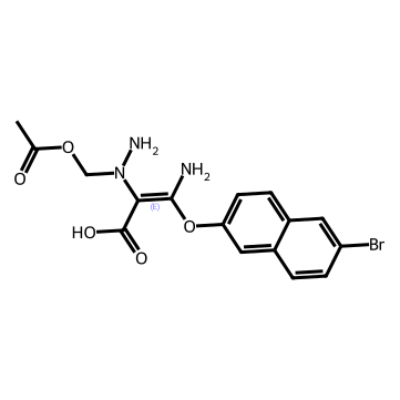 CC(=O)OCN(N)/C(C(=O)O)=C(\N)Oc1ccc2cc(Br)ccc2c1